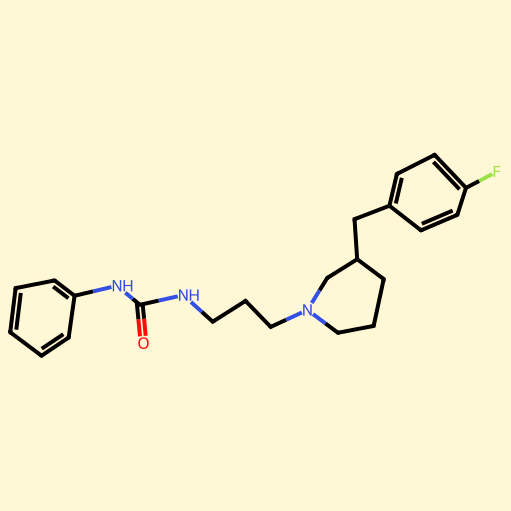 O=C(NCCCN1CCCC(Cc2ccc(F)cc2)C1)Nc1ccccc1